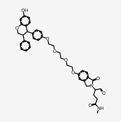 CNC(=O)CCC(C=O)N1Cc2cc(OCCOCCOCCOc3ccc(C4c5ccc(O)cc5OCC4c4ccccc4)cc3)ccc2C1=O